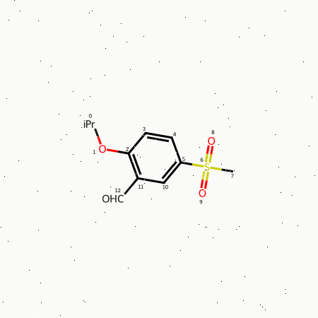 CC(C)Oc1ccc(S(C)(=O)=O)cc1C=O